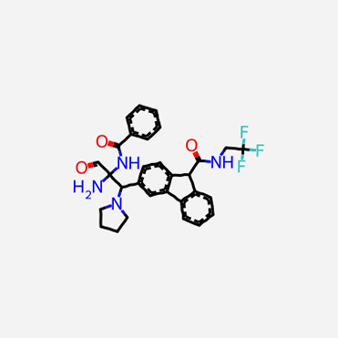 NC(C=O)(NC(=O)c1ccccc1)C(c1ccc2c(c1)-c1ccccc1C2C(=O)NCC(F)(F)F)N1CCCC1